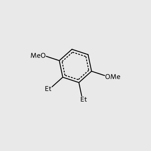 CCc1c(OC)ccc(OC)c1CC